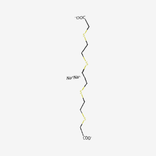 O=C([O-])CSCCSCCSCCSCC(=O)[O-].[Na+].[Na+]